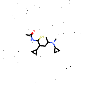 CC(=O)NC(S)C(CC(C)N(C)C1CC1)C1CC1